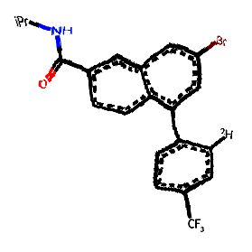 [2H]c1cc(C(F)(F)F)ccc1-c1cc(Br)cc2cc(C(=O)NC(C)C)ccc12